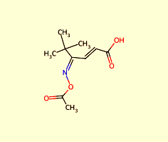 CC(=O)O/N=C(\C=C\C(=O)O)C(C)(C)C